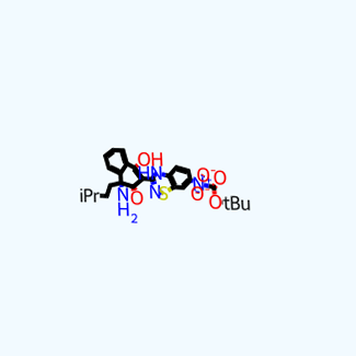 CC(C)CCC1(N)C(=O)C(C2=NSc3cc([N+]([O-])([O-])C(=O)OC(C)(C)C)ccc3N2)=C(O)c2ccccc21